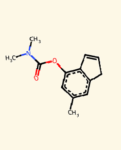 Cc1cc2c(c(OC(=O)N(C)C)c1)C=CC2